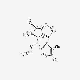 C=CC[C@@H](c1ccc(Cl)c(Cl)c1)[C@@H]1c2ccccc2C(=O)N1C